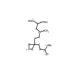 CCCCCCC(CCCCCC)CN(C)CCC1(CCC(CC)CCCC)COC1